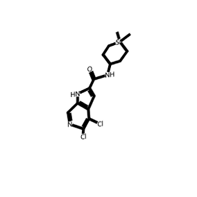 C[Si]1(C)CCC(NC(=O)c2cc3c(Cl)c(Cl)ncc3[nH]2)CC1